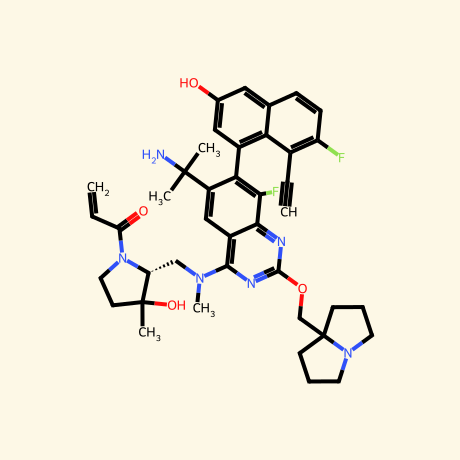 C#Cc1c(F)ccc2cc(O)cc(-c3c(C(C)(C)N)cc4c(N(C)C[C@H]5N(C(=O)C=C)CCC5(C)O)nc(OCC56CCCN5CCC6)nc4c3F)c12